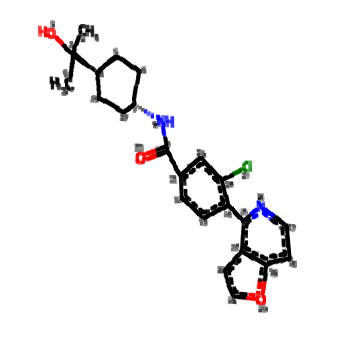 CC(C)(O)[C@H]1CC[C@H](NC(=O)c2ccc(-c3nccc4occc34)c(Cl)c2)CC1